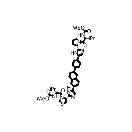 COC(=O)N[C@H](C(=O)N1CCC[C@H]1c1ncc(-c2ccc(-c3ccc4cc(-c5cnc([C@@H]6CSCN6C(=O)[C@@H](NC(=O)OC)C(C)C)[nH]5)ccc4c3)cc2)[nH]1)C(C)C